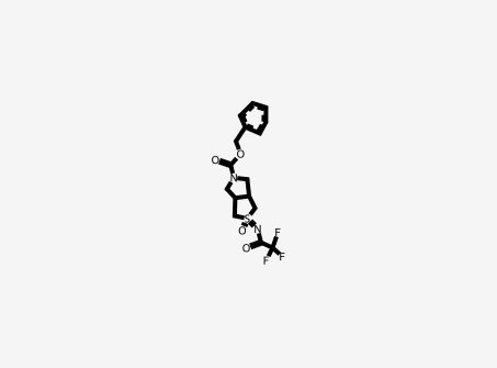 O=C(OCc1ccccc1)N1CC2CS(=O)(=NC(=O)C(F)(F)F)CC2C1